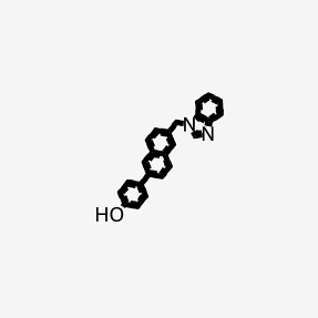 Oc1ccc(-c2ccc3cc(Cn4cnc5ccccc54)ccc3c2)cc1